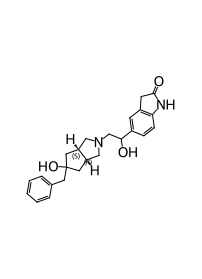 O=C1Cc2cc(C(O)CN3C[C@@H]4CC(O)(Cc5ccccc5)C[C@@H]4C3)ccc2N1